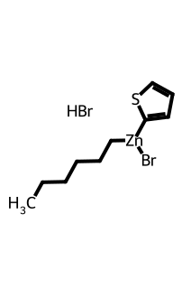 Br.CCCCC[CH2][Zn]([Br])[c]1cccs1